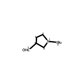 CC(C)(C)N1CCC(C=O)C1